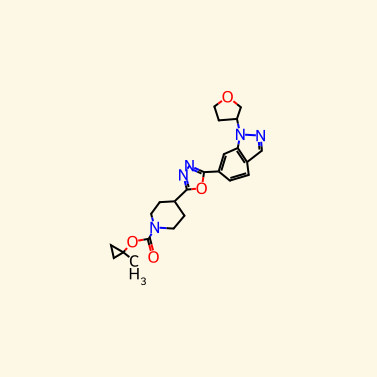 CC1(OC(=O)N2CCC(c3nnc(-c4ccc5cnn(C6CCOC6)c5c4)o3)CC2)CC1